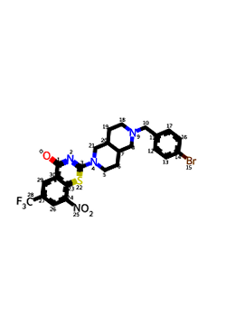 O=c1nc(N2CCC3CN(Cc4ccc(Br)cc4)CCC3C2)sc2c([N+](=O)[O-])cc(C(F)(F)F)cc12